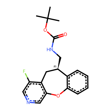 CC(C)(C)OC(=O)NC[C@@H]1Cc2c(F)cncc2Oc2ccccc21